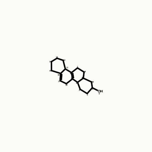 OC1CCC2C3=C(CCC2C1)C1CCCCC1=CC3